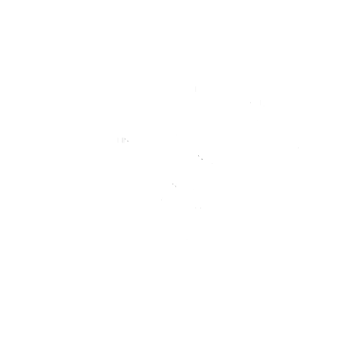 CCCC(CCC)S(=O)(=O)CC(N)C(=O)N(C(=O)c1ccccc1)[C@@H](Cc1cc(F)cc(F)c1)[C@H](O)CNCc1cccc(CC)c1